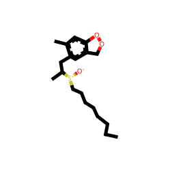 CCCCCCCC[S+]([O-])C(C)Cc1cc2c(cc1C)OOC2